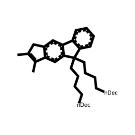 CCCCCCCCCCCCCCC1(CCCCCCCCCCCCCC)c2ccccc2-c2cc3c(cc21)C(C)=C(C)[CH]3